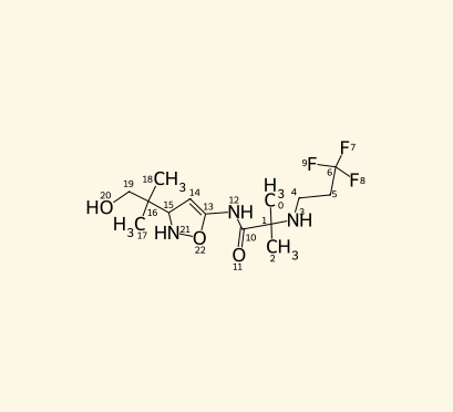 CC(C)(NCCC(F)(F)F)C(=O)NC1=CC(C(C)(C)CO)NO1